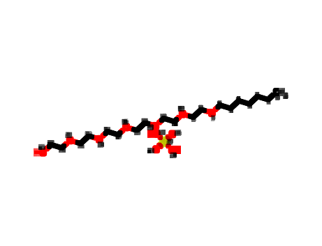 CCCCCCCOCCOCCOCCOCCOCCOCCO.O=S(=O)(O)O